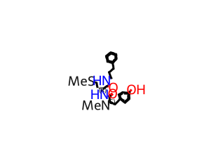 CN[C@@H](Cc1ccc(O)cc1)C(=O)N[C@H](CCSC)C(=O)NCCCc1ccccc1